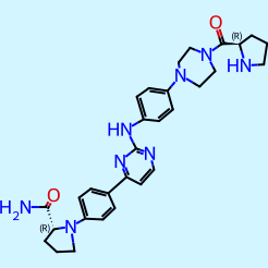 NC(=O)[C@H]1CCCN1c1ccc(-c2ccnc(Nc3ccc(N4CCN(C(=O)[C@H]5CCCN5)CC4)cc3)n2)cc1